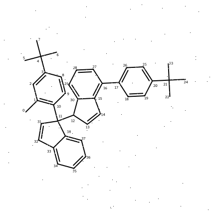 Cc1cc(C(C)(C)C)ccc1C1(C2C=Cc3c(-c4ccc(C(C)(C)C)cc4)cccc32)C=Cc2ccccc21